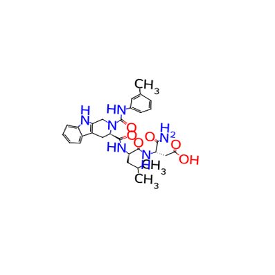 Cc1cccc(NC(=O)N2Cc3[nH]c4ccccc4c3C[C@@H]2C(=O)N[C@H](CC(C)C)C(=O)N[C@@H](CC(=O)O)C(N)=O)c1